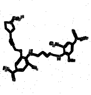 COC(=O)c1cc(OC)c(NC/C=C/CNc2c(OCC#CC3CCN(C(=O)O)C3)cc(C(N)=O)cc2[N+](=O)[O-])c([N+](=O)[O-])c1